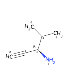 C#C[C@H](N)C(C)C